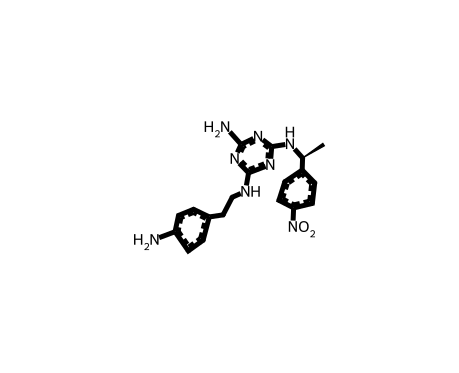 C[C@H](Nc1nc(N)nc(NCCc2ccc(N)cc2)n1)c1ccc([N+](=O)[O-])cc1